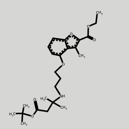 CCOC(=O)c1oc2cccc(OCCCNC(C)(C)CC(=O)OC(C)(C)C)c2c1C